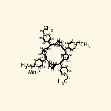 CCN1C=CC(c2c3nc(c(C4=CCN(CC)C=C4)c4ccc([nH]4)c(C4=CCN(CC)C=C4)c4nc(c(C5=CCN(CC)C=C5)c5ccc2[nH]5)C=C4)C=C3)=CC1.[Mn+3]